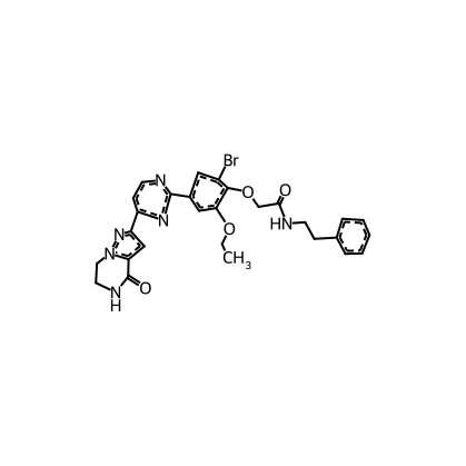 CCOc1cc(-c2nccc(-c3cc4n(n3)CCNC4=O)n2)cc(Br)c1OCC(=O)NCCc1ccccc1